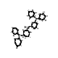 c1ccc(P(c2ccccc2)c2cccc(Pc3cccc(P(c4ccccc4)c4ccccc4)c3)c2)cc1